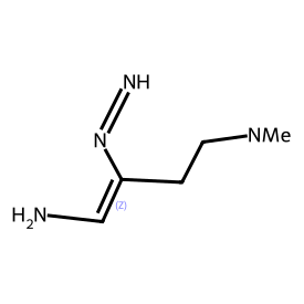 CNCC/C(=C/N)N=N